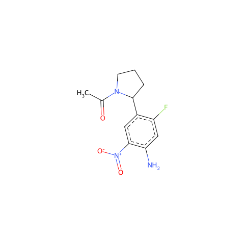 CC(=O)N1CCCC1c1cc([N+](=O)[O-])c(N)cc1F